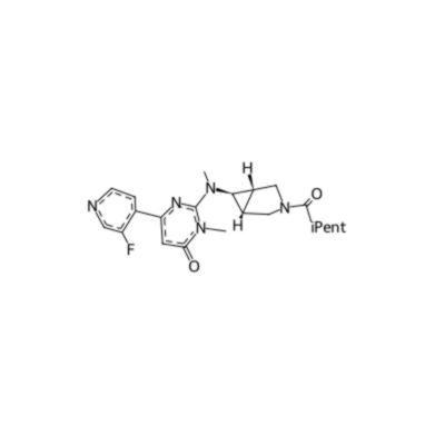 CCCC(C)C(=O)N1C[C@@H]2[C@H](C1)[C@H]2N(C)c1nc(-c2ccncc2F)cc(=O)n1C